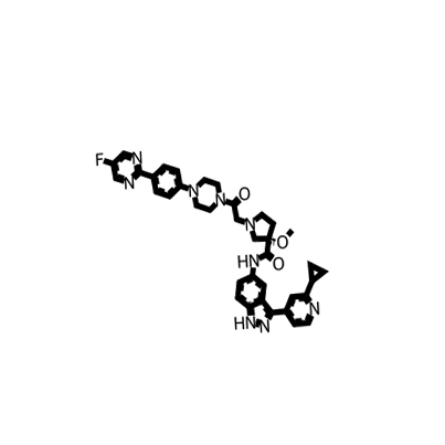 CO[C@@]1(C(=O)Nc2ccc3[nH]nc(-c4ccnc(C5CC5)c4)c3c2)CCN(CC(=O)N2CCN(c3ccc(-c4ncc(F)cn4)cc3)CC2)C1